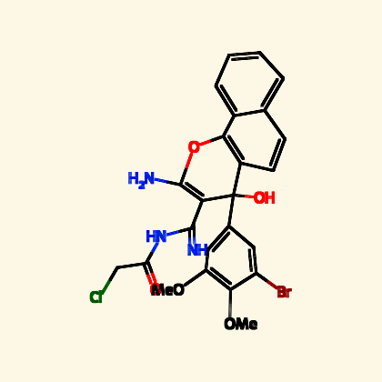 COc1cc(C2(O)C(C(=N)NC(=O)CCl)=C(N)Oc3c2ccc2ccccc32)cc(Br)c1OC